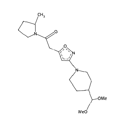 COC(OC)C1CCN(c2cc(CC(=O)N3CCCC3C)on2)CC1